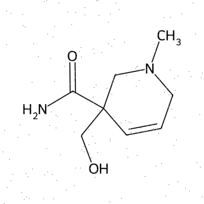 CN1CC=CC(CO)(C(N)=O)C1